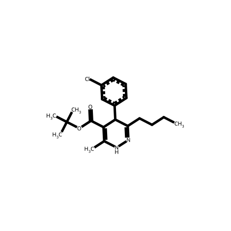 CCCCC1=NNC(C)=C(C(=O)OC(C)(C)C)C1c1cccc(Cl)c1